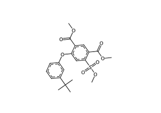 COC(=O)c1cc(C(=O)OC)c(S(=O)(=O)OC)cc1Oc1cccc(C(C)(C)C)c1